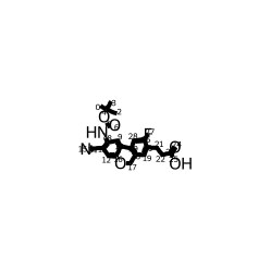 CC(C)(C)OC(=O)Nc1cc2c(cc1C#N)OCc1cc(CCC(=O)O)c(F)cc1-2